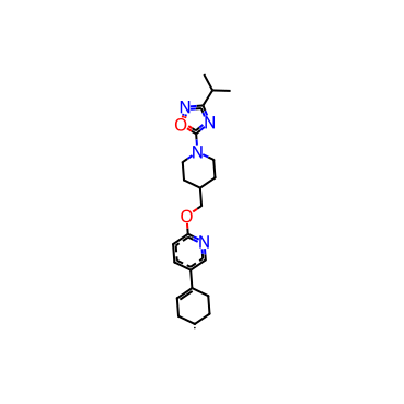 CC(C)c1noc(N2CCC(COc3ccc(C4=CC[CH]CC4)cn3)CC2)n1